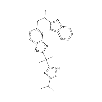 CC(C)c1c[nH]c(C(C)(C)c2nc3cc(CC(C)c4nc5ccccc5s4)ccc3o2)n1